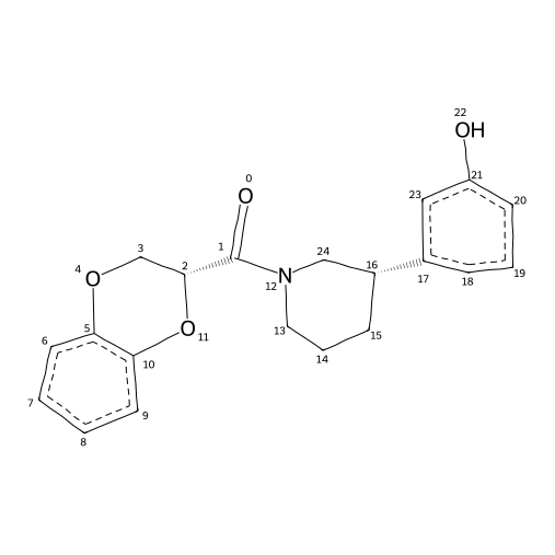 O=C([C@H]1COc2ccccc2O1)N1CCC[C@@H](c2cccc(O)c2)C1